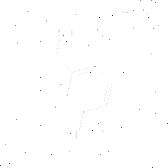 NCC1=CC=CC(F)C1